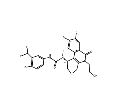 CN(C(=O)Nc1ccc(F)c(C(F)F)c1)[C@@H]1COCc2c1c1cc(F)c(F)cc1c(=O)n2CCO